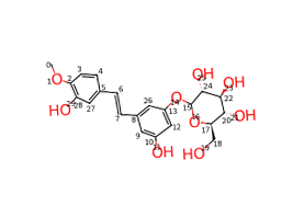 COc1ccc(C=Cc2cc(O)cc(OC3O[C@H](CO)[C@@H](O)[C@H](O)[C@H]3O)c2)cc1O